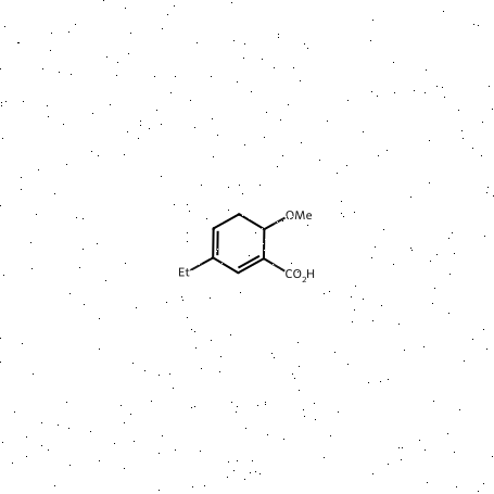 CCC1=CCC(OC)C(C(=O)O)=C1